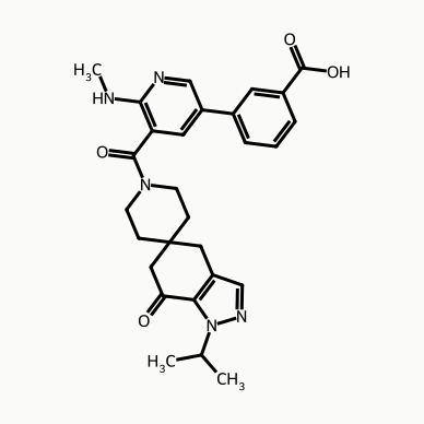 CNc1ncc(-c2cccc(C(=O)O)c2)cc1C(=O)N1CCC2(CC1)CC(=O)c1c(cnn1C(C)C)C2